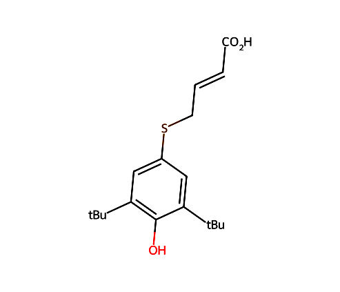 CC(C)(C)c1cc(SCC=CC(=O)O)cc(C(C)(C)C)c1O